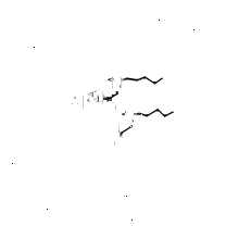 CCCCCN(C)CC(=O)[O-].CCCCCN(C)CC(=O)[O-].[OH][Al+2]